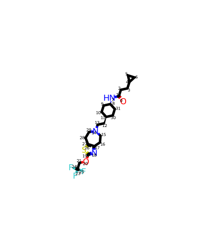 O=C(CCC1CC1)N[C@H]1CC[C@H](CCN2CCc3nc(OCC(F)(F)F)sc3CC2)CC1